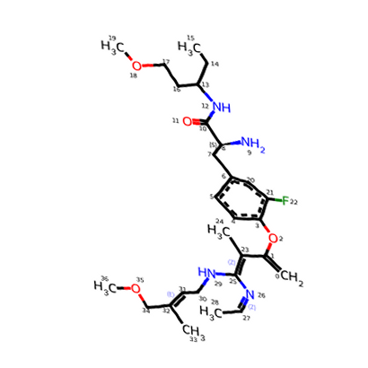 C=C(Oc1ccc(C[C@H](N)C(=O)NC(CC)CCOC)cc1F)/C(C)=C(\N=C/C)NC/C=C(\C)COC